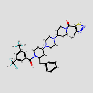 Cc1nnsc1C(=O)N1CCC(N2CCN(C3CCN(C(=O)c4cc(C(F)(F)F)cc(C(F)(F)F)c4)C(Cc4ccccc4)C3)CC2)CC1